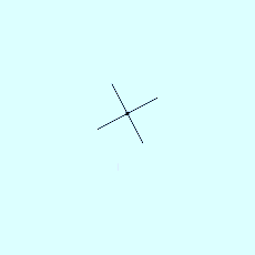 CC(C)(C)C.[OH]